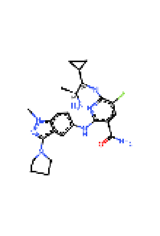 C[C@H](N)[C@H](Nc1nc(Nc2ccc3c(c2)c(N2CCCC2)nn3C)c(C(N)=O)cc1F)C1CC1